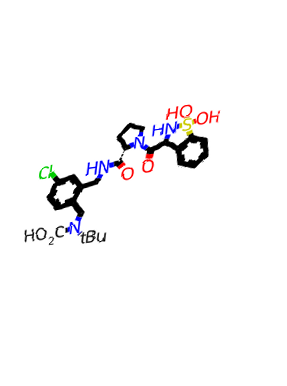 CC(C)(C)N(Cc1ccc(Cl)cc1CNC(=O)[C@@H]1CCCN1C(=O)C1NS(O)(O)c2ccccc21)C(=O)O